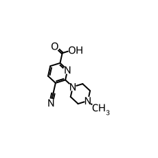 CN1CCN(c2nc(C(=O)O)ccc2C#N)CC1